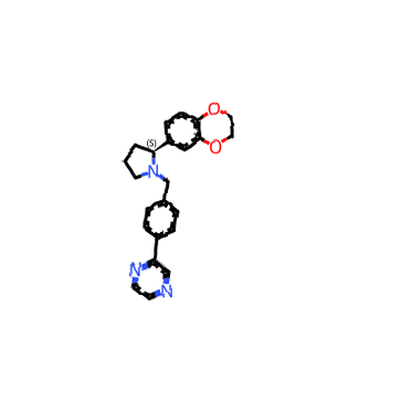 c1cnc(-c2ccc(CN3CCC[C@H]3c3ccc4c(c3)OCCO4)cc2)cn1